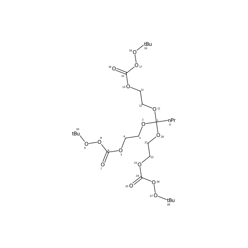 CCCC(OCCOC(=O)OOC(C)(C)C)(OCCOC(=O)OOC(C)(C)C)OCCOC(=O)OOC(C)(C)C